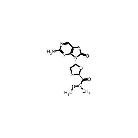 CON(C)C(=O)[C@H]1O[C@@H](n2c(=O)sc3cnc(N)nc32)CS1